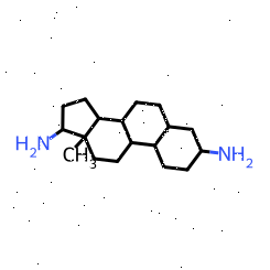 CC12CCC3C4CCC(N)CC4CCC3C1CCC2N